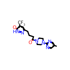 Cc1cnc(N2CCN(C(=O)CCCc3cc(C(F)(F)F)c(=O)[nH]n3)CC2)nc1